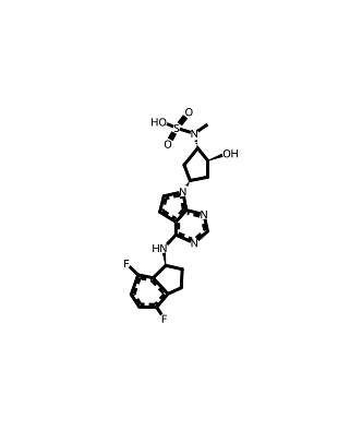 CN([C@H]1C[C@@H](n2ccc3c(N[C@H]4CCc5c(F)ccc(F)c54)ncnc32)C[C@@H]1O)S(=O)(=O)O